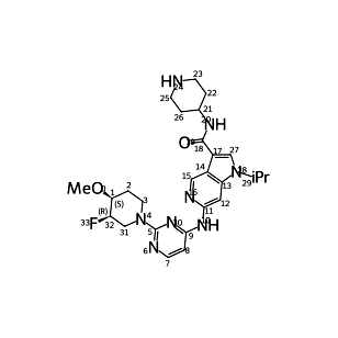 CO[C@H]1CCN(c2nccc(Nc3cc4c(cn3)c(C(=O)NC3CCNCC3)cn4C(C)C)n2)C[C@H]1F